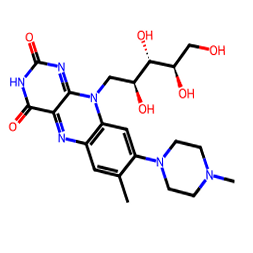 Cc1cc2nc3c(=O)[nH]c(=O)nc-3n(C[C@H](O)[C@H](O)[C@H](O)CO)c2cc1N1CCN(C)CC1